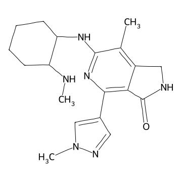 CNC1CCCCC1Nc1nc(-c2cnn(C)c2)c2c(c1C)CNC2=O